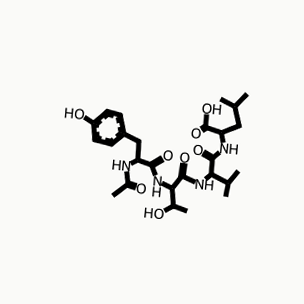 CC(=O)NC(Cc1ccc(O)cc1)C(=O)NC(C(=O)NC(C(=O)NC(CC(C)C)C(=O)O)C(C)C)C(C)O